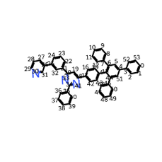 c1ccc(-c2cc(-c3ccccc3)c(-c3ccc(-c4cc(-c5cccc(-c6cccnc6)c5)nc(-c5ccccc5)n4)cc3)c(-c3ccccc3)c2)cc1